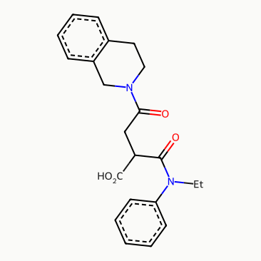 CCN(C(=O)C(CC(=O)N1CCc2ccccc2C1)C(=O)O)c1ccccc1